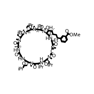 CC[C@H]1NC(=O)[C@H]([C@H](O)[C@H](C)CCCc2cccc(C(=O)OC)c2)N(C)C(=O)[C@@H](C(C)C)N(C)C(=O)[C@@H](CC(C)C)N(C)C(=O)[C@H](CC(C)C)N(C)C(=O)[C@H](C)NC(=O)[C@@H](C)NC(=O)[C@@H](CCC(C)C)N(C)C(=O)[C@@H](C(C)C)NC(=O)[C@H](CC(C)C)N(C)C(=O)CN(C)C1=O